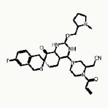 C=CC(=O)N1CCN(C2NC(OCC3CCCN3C)NC3C(=O)[C@]4(CCC32)Cc2ccc(F)cc2CS4)CC1CC#N